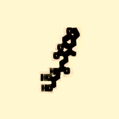 Cc1c(CCC(=O)NCC(O)CO)c(=O)oc2cc3occc3cc12